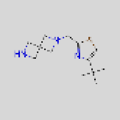 CC(C)(C)c1csc(CN2CC3(CNC3)C2)n1